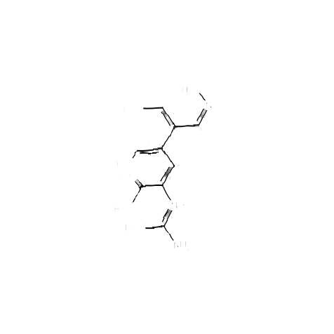 C=C(C)C(=C\C(=C/C)C(\C=N/C)=C/C)/N=C(\C)N